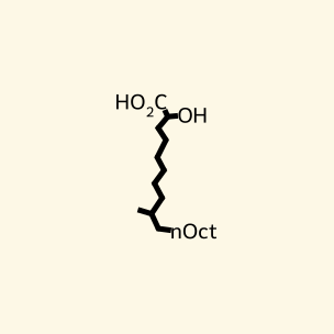 CCCCCCCCCC(C)CCCCCCC(O)C(=O)O